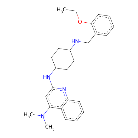 CCOc1ccccc1CNC1CCC(Nc2cc(N(C)C)c3ccccc3n2)CC1